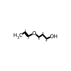 CC=COCCCO